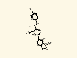 Cc1c(C(=O)N[C@H](C(=O)OCc2ccc(F)cc2)[C@@H](C)O)ccc2c1B(O)OC2